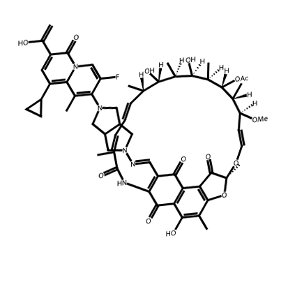 C=C(O)c1cc(C2CC2)c2c(C)c(N3CC4CN(/N=C/C5=C6NC(=O)/C(C)=C\C=C\[C@H](C)[C@H](O)[C@@H](C)[C@@H](O)[C@@H](C)[C@H](OC(C)=O)[C@H](C)[C@@H](OC)/C=C/O[C@@]7(C)Oc8c(C)c(O)c(c(c8C7=O)C5=O)C6=O)CC4C3)c(F)cn2c1=O